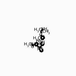 COC(=O)c1cccc(-c2nc3ccccn3c2-c2ccnc(Nc3cccc(OCCC(C)(C)N)c3C)n2)c1